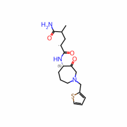 CC(C[CH]C(=O)N[C@H]1CCCN(Cc2cccs2)CC1=O)C(N)=O